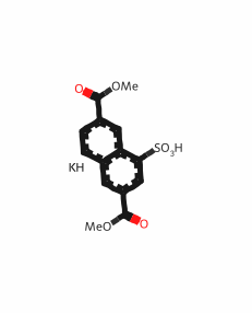 COC(=O)c1cc(S(=O)(=O)O)c2cc(C(=O)OC)ccc2c1.[KH]